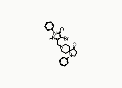 Cn1c(CN2CCC3(CC2)C(=O)CCN3c2ccccc2)c(Br)c(=O)n1-c1ccccc1